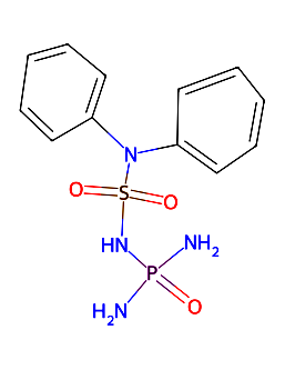 NP(N)(=O)NS(=O)(=O)N(c1ccccc1)c1ccccc1